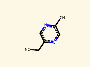 N#CCc1cnc(C#N)cn1